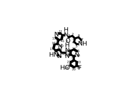 O=C(CC1CCNCC1)Nc1cncc(-c2ccc3[nH]nc(-c4nc5c(-c6cc(O)cc(F)c6)nccc5[nH]4)c3n2)c1